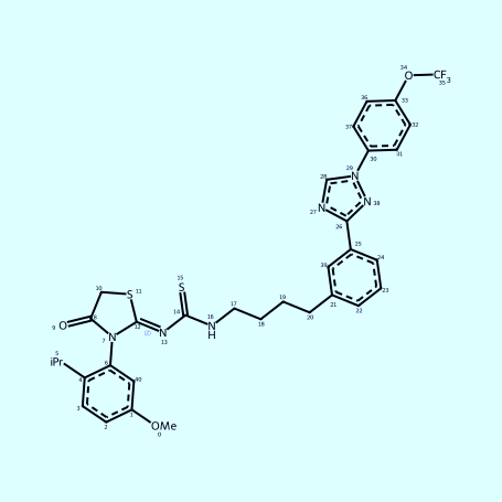 COc1ccc(C(C)C)c(N2C(=O)CS/C2=N\C(=S)NCCCCc2cccc(-c3ncn(-c4ccc(OC(F)(F)F)cc4)n3)c2)c1